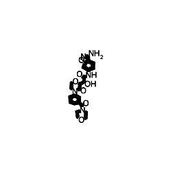 Nc1noc2cc(NC(=O)C(O)C3OCCN(c4cccc(C(=O)N5CCOCC5)c4)C3=O)ccc12